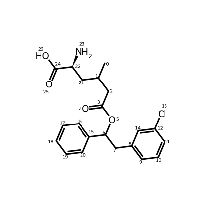 CC(CC(=O)OC(Cc1cccc(Cl)c1)c1ccccc1)C[C@H](N)C(=O)O